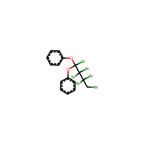 BrCC(Br)(Br)C(Br)(Br)C(Br)(Oc1ccccc1)Oc1ccccc1